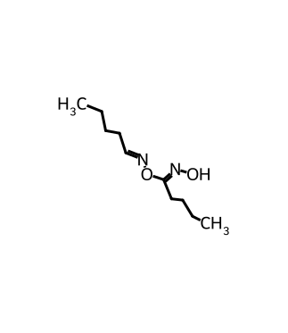 CCCCC=NOC(CCCC)=NO